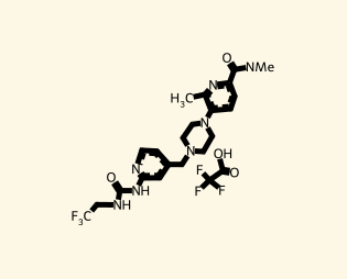 CNC(=O)c1ccc(N2CCN(Cc3ccnc(NC(=O)NCC(F)(F)F)c3)CC2)c(C)n1.O=C(O)C(F)(F)F